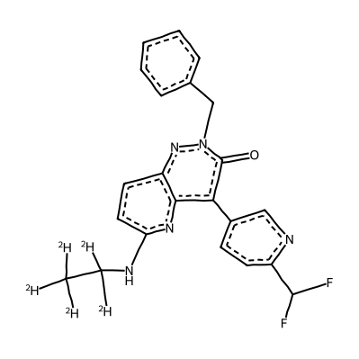 [2H]C([2H])([2H])C([2H])([2H])Nc1ccc2nn(Cc3ccccc3)c(=O)c(-c3ccc(C(F)F)nc3)c2n1